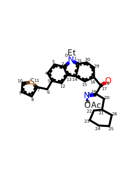 CCn1c2ccc(Cc3cccs3)cc2c2cc(C(=O)C(CC3CCCCC3)=NOC(C)=O)ccc21